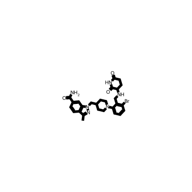 Cc1nn(CC2CCN(c3cccc(Br)c3CNC3CCC(=O)NC3=O)CC2)c2cc(C(N)=O)ccc12